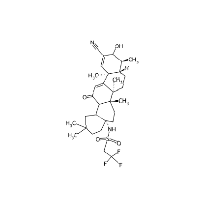 C[C@@H]1C(O)C(C#N)=C[C@]2(C)C3=CC(=O)C4C5CC(C)(C)CC[C@]5(NS(=O)(=O)CC(F)(F)F)CC[C@@]4(C)[C@]3(C)CC[C@@H]12